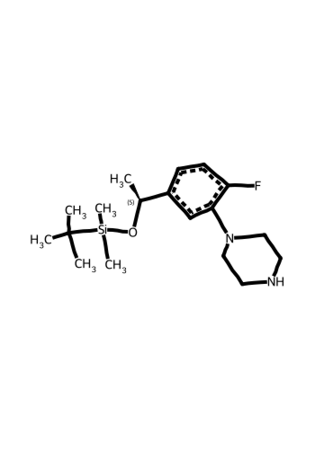 C[C@H](O[Si](C)(C)C(C)(C)C)c1ccc(F)c(N2CCNCC2)c1